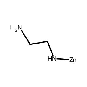 NCC[NH][Zn]